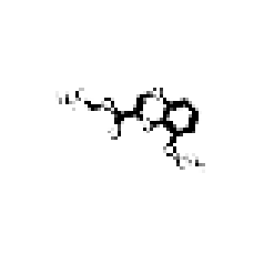 CCOC(=O)C1=COc2cccc(OC)c2O1